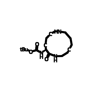 CC(C)(C)OC(=O)N[C@H]1CCCCNCCCCCCNC1=O